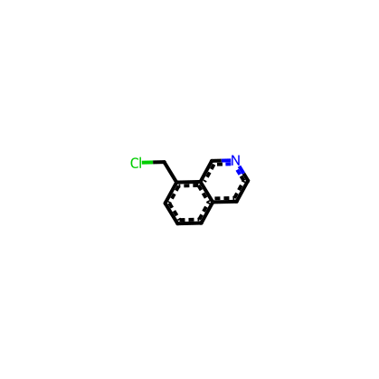 ClCc1cccc2ccncc12